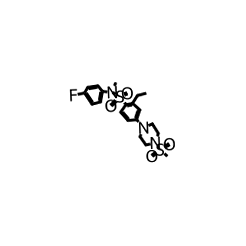 CCc1cc(N2CCN(S(C)(=O)=O)CC2)ccc1S(=O)(=O)N(C)c1ccc(F)cc1